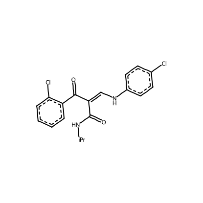 CC(C)NC(=O)/C(=C\Nc1ccc(Cl)cc1)C(=O)c1ccccc1Cl